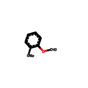 COc1ccccc1OC=O